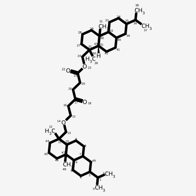 CC(C)C1CCC2C(CCC3C(C)(COCCC(=O)CCC(=O)OCC4(C)CCCC5(C)C6CCC(C(C)C)CC6CC[C@H]45)CCCC23C)C1